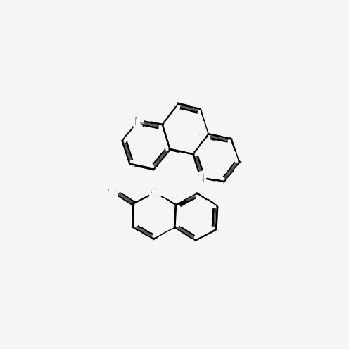 O=c1ccc2ccccc2o1.c1cnc2c(c1)ccc1ncccc12